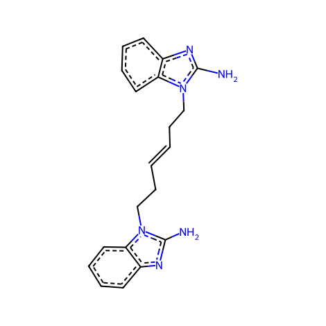 Nc1nc2ccccc2n1CC/C=C/CCn1c(N)nc2ccccc21